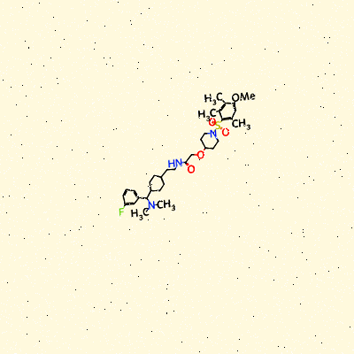 COc1cc(C)c(S(=O)(=O)N2CCC(OCC(=O)NCCC3CCC(C(c4cccc(F)c4)N(C)C)CC3)CC2)c(C)c1C